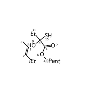 CC=CCC.CCCCCOC(=O)C(O)(S)CC